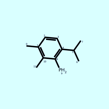 Cc1ccc(C(C)C)c(P)c1C